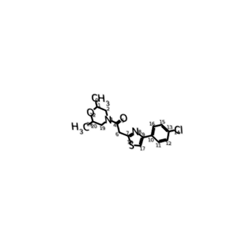 CC1CN(C(=O)Cc2nc(-c3ccc(Cl)cc3)cs2)CC(C)O1